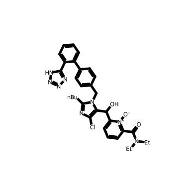 CCCCc1nc(Cl)c(C(O)c2cccc(C(=O)N(CC)CC)[n+]2[O-])n1Cc1ccc(-c2ccccc2-c2nnn[nH]2)cc1